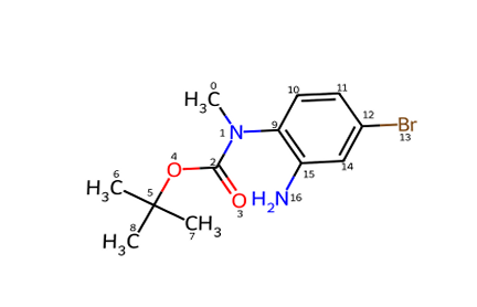 CN(C(=O)OC(C)(C)C)c1ccc(Br)cc1N